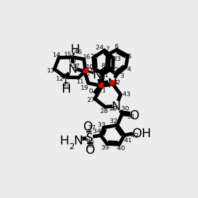 Cc1nc2ccccc2n1[C@H]1C[C@H]2CC[C@@H](C1)N2CCC1(c2ccccc2)CCN(C(=O)c2cc(S(N)(=O)=O)ccc2O)CC1